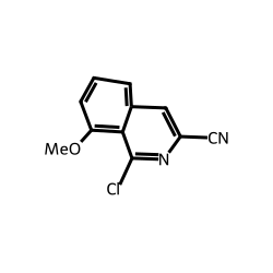 COc1cccc2cc(C#N)nc(Cl)c12